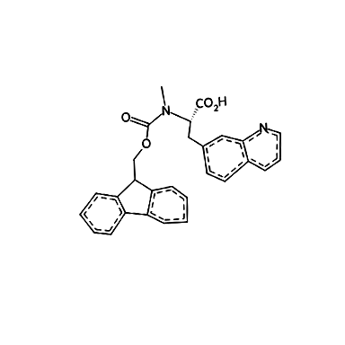 CN(C(=O)OCC1c2ccccc2-c2ccccc21)[C@@H](Cc1ccc2cccnc2c1)C(=O)O